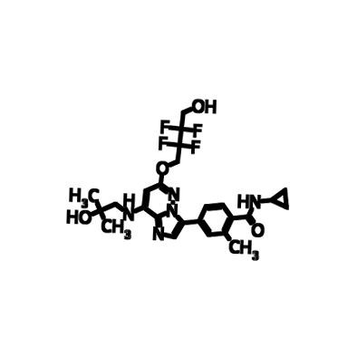 Cc1cc(-c2cnc3c(NCC(C)(C)O)cc(OCC(F)(F)C(F)(F)CO)nn23)ccc1C(=O)NC1CC1